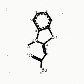 CCC(C)C(=O)/C=C1/Sc2ccccc2N1C